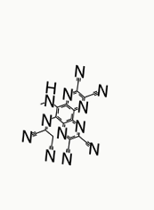 CNc1c(/N=C(/C#N)CC#N)c2nc(C#N)c(C#N)nc2c2nc(C#N)c(C#N)nc12